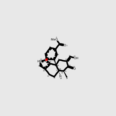 COC(=O)c1cccc([C@@]23CC(=CO)C(=O)[C@@H](C)[C@H]2CCc2c[nH]nc23)c1